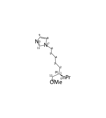 CCC[C@H](CCCCCn1ccnc1)COC